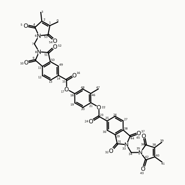 CC1=C(C)C(=O)N(CN2C(=O)c3ccc(C(=O)Oc4ccc(OC(=O)c5ccc6c(c5)C(=O)N(CN5C(=O)C(C)=C(C)C5=O)C6=O)c(C)c4)cc3C2=O)C1=O